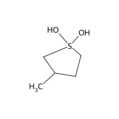 CC1CCS(O)(O)C1